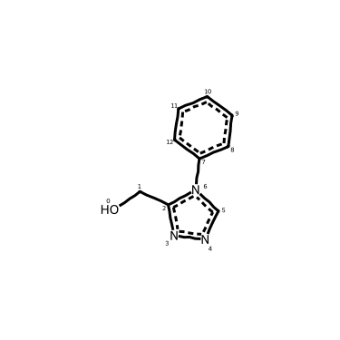 OCc1nncn1-c1ccccc1